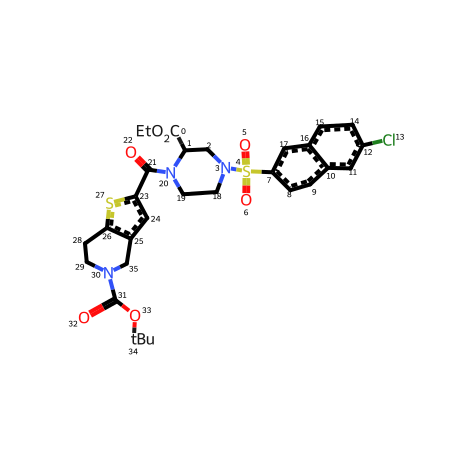 CCOC(=O)C1CN(S(=O)(=O)c2ccc3cc(Cl)ccc3c2)CCN1C(=O)c1cc2c(s1)CCN(C(=O)OC(C)(C)C)C2